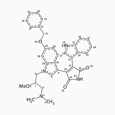 COC(CN(C)C)Cn1cc(C2=C(c3c[nH]c4ccccc34)C(=O)NC2=O)c2ccc(OCc3ccccc3)cc21